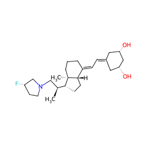 C[C@@H](CN1CC[C@H](F)C1)[C@H]1CC[C@H]2C(=CC=C3C[C@@H](O)C[C@@H](O)C3)CCC[C@]12C